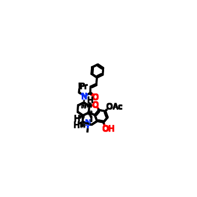 CC(=O)Oc1cc(O)c2c3c1O[C@H]1[C@@H](N(CC(C)C)C(=O)C=Cc4ccccc4)CC[C@H]4[C@@H](C2)N(C)CC[C@@]341